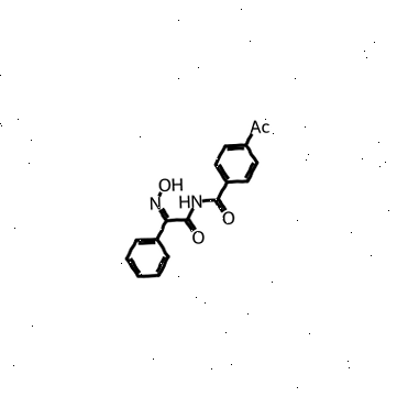 CC(=O)c1ccc(C(=O)NC(=O)C(=NO)c2ccccc2)cc1